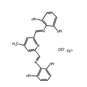 CCCc1cccc(CCC)c1N=Cc1cc(C)cc(C=Nc2c(CCC)cccc2CCC)n1.[Cl-].[Cl-].[Fe+2]